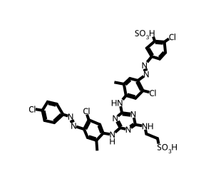 Cc1cc(N=Nc2ccc(Cl)cc2)c(Cl)cc1Nc1nc(NCCS(=O)(=O)O)nc(Nc2cc(Cl)c(N=Nc3ccc(Cl)c(S(=O)(=O)O)c3)cc2C)n1